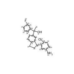 CC(O)(c1ccc2c(c1)N(c1nc(N)ncc1Cl)CC2)c1cc(F)ccn1